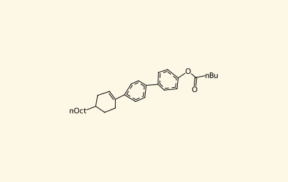 CCCCCCCCC1CC=C(c2ccc(-c3ccc(OC(=O)CCCC)cc3)cc2)CC1